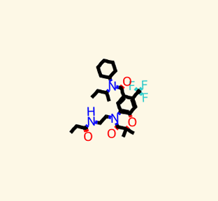 CCC(=O)NCCN1C(=O)C(C)(C)Oc2cc(C(F)(F)F)c(C(=O)N(C(C)CC)C3CCCCC3)cc21